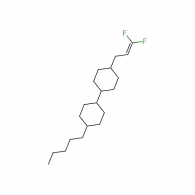 CCCCCC1CCC(C2CCC(CC=C(F)F)CC2)CC1